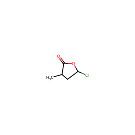 CC1CC(Cl)OC1=O